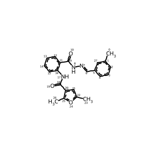 Cc1cccc(C=NNC(=O)c2ccccc2NC(=O)c2cc(C)oc2C)c1